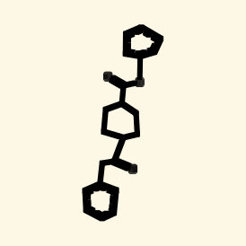 O=C(Cc1ccccc1)C1CCC(C(=O)Oc2ccccc2)CC1